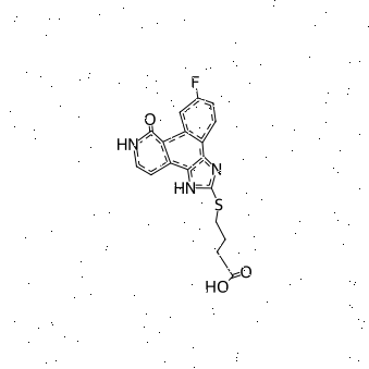 O=C(O)CCCSc1nc2c3ccc(F)cc3c3c(=O)[nH]ccc3c2[nH]1